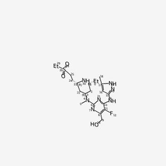 CC[C@@H]1C[C@@H](N(C)c2nc(CO)c(F)c(Nc3cc(C)[nH]n3)n2)C[C@H](CCS(=O)(=O)CC)N1